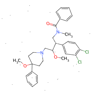 COC(CN1CCC(OC)(c2ccccc2)CC1)C(CN(C)C(=O)c1ccccc1)c1ccc(Cl)c(Cl)c1